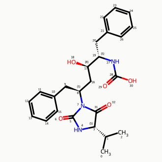 CC(C)[C@@H]1NC(=O)N([C@@H](Cc2ccccc2)C[C@@H](O)[C@H](Cc2ccccc2)NC(=O)O)C1=O